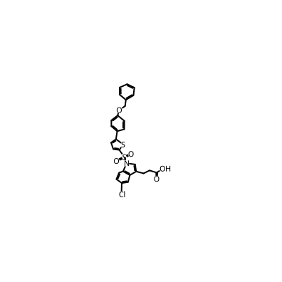 O=C(O)CCc1cn(S(=O)(=O)c2ccc(-c3ccc(OCc4ccccc4)cc3)s2)c2ccc(Cl)cc12